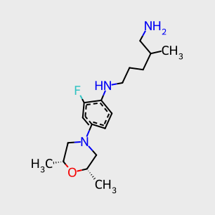 CC(CN)CCCNc1ccc(N2C[C@@H](C)O[C@@H](C)C2)cc1F